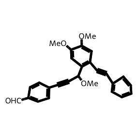 COc1cc(C#Cc2ccccc2)c(C(C#Cc2ccc(C=O)cc2)OC)cc1OC